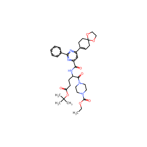 CCOC(=O)N1CCN(C(=O)C(CCC(=O)OC(C)(C)C)NC(=O)c2cc(C3=CCC4(CC3)OCCO4)nc(-c3ccccc3)n2)CC1